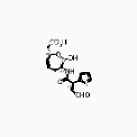 O=C/C=C(/C(=O)N[C@H]1CC=C[C@H](CC(=O)O)OB1O)c1cccs1